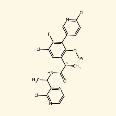 CC(C)Oc1c([C@H](C)C(=O)NC(C)c2nccnc2Cl)cc(Cl)c(F)c1-c1ccc(Cl)nc1